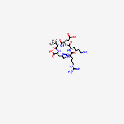 CC(C)[C@H](NC(=O)[C@H](CCC(=O)O)NC(=O)[C@H](CCCCN)NC(=O)[C@@H](N)CCCNC(=N)N)C(=O)N[C@@H](Cc1c[nH]cn1)C(=O)O